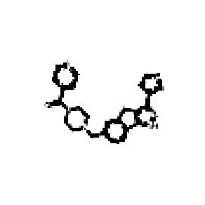 O=C(c1ccncc1)N1CCN(Cc2ccc3c(c2)Cc2c(-c4ccsc4)n[nH]c2-3)CC1